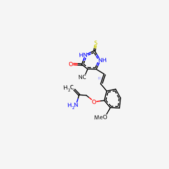 C=C(N)COc1c(/C=C/c2[nH]c(=S)[nH]c(=O)c2C#N)cccc1OC